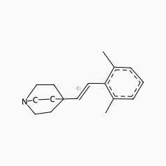 Cc1cccc(C)c1/C=C/C12CCN(CC1)CC2